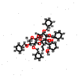 C=CC[C@@]1(O[C@@H]2[C@H](OCc3ccccc3)[C@@H](OCc3ccccc3)[C@H](C)O[C@H]2O)O[C@@H](C)[C@H](OCc2ccccc2)[C@@H](OCc2ccccc2)[C@]1(O)Cc1ccccc1OC